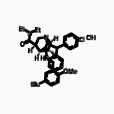 CCN(CC)C(=O)[C@H]1CN2CC[C@@H]1[C@H](NCc1cc(C(C)(C)C)ccc1OC)[C@@H]2C(c1ccccc1)c1ccccc1.Cl.Cl